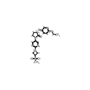 CS(=O)(=O)C1CN(c2ncc(N3CC[C@H](Oc4ccc(OCC(F)(F)F)nc4)C3=O)cn2)C1